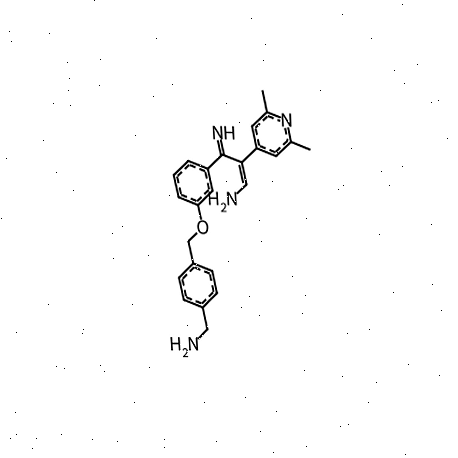 Cc1cc(/C(=C/N)C(=N)c2cccc(OCc3ccc(CN)cc3)c2)cc(C)n1